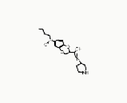 CCCC[S+]([O-])c1ccc2c(c1)OCC(C(O)CNC1CCNCC1)O2